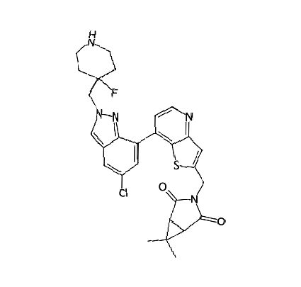 CC1(C)C2C(=O)N(Cc3cc4nccc(-c5cc(Cl)cc6cn(CC7(F)CCNCC7)nc56)c4s3)C(=O)C21